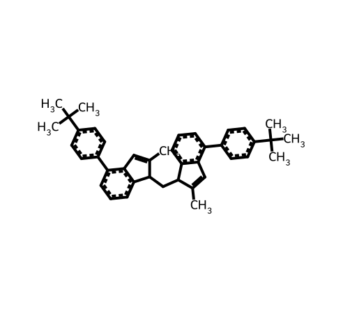 CC1=Cc2c(-c3ccc(C(C)(C)C)cc3)cccc2C1CC1C(C)=Cc2c(-c3ccc(C(C)(C)C)cc3)cccc21